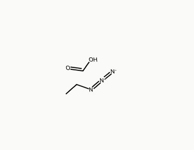 CCN=[N+]=[N-].O=CO